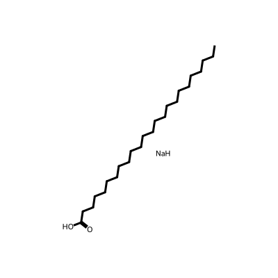 CCCCCCCCCCCCCCCCCCCCCCCC(=O)O.[NaH]